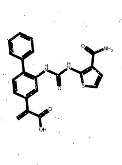 C=C(C(=O)O)c1ccc(-c2ccccc2)c(NC(=O)Nc2sccc2C(N)=O)c1